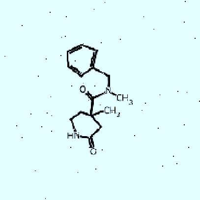 CN(Cc1ccccc1)C(=O)C1(C)CCNC(=O)C1